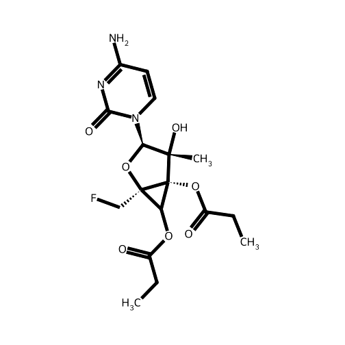 CCC(=O)OC1[C@]2(OC(=O)CC)[C@@](C)(O)[C@H](n3ccc(N)nc3=O)O[C@]12CF